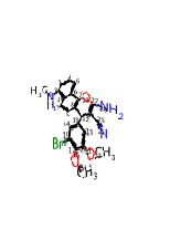 CNc1cccc2c3c(ccc12)C(c1cc(Br)c(OC)c(OC)c1)C(C#N)=C(N)O3